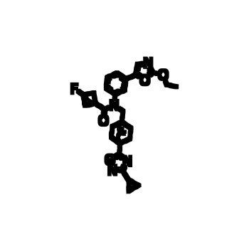 CCOc1ncc(-c2cccc(N(CC34CCC(c5nc(C6CC6)no5)(CC3)CC4)C(=O)C34CC(F)(C3)C4)c2)o1